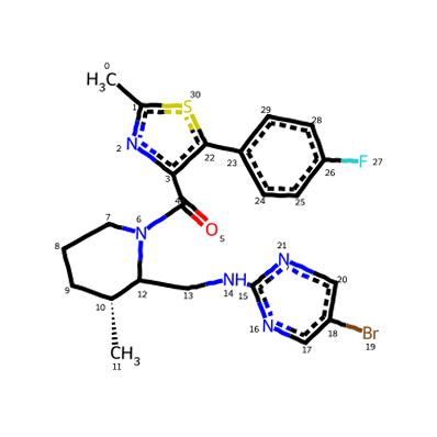 Cc1nc(C(=O)N2CCC[C@@H](C)C2CNc2ncc(Br)cn2)c(-c2ccc(F)cc2)s1